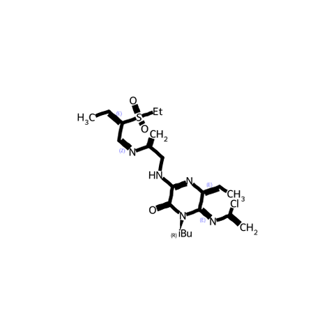 C=C(CNC1=NC(=C/C)/C(=N\C(=C)Cl)N([C@H](C)CC)C1=O)/N=C\C(=C/C)S(=O)(=O)CC